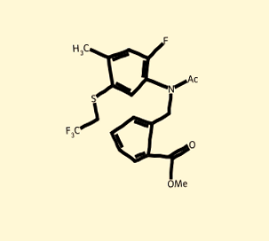 COC(=O)c1ccccc1CN(C(C)=O)c1cc(SCC(F)(F)F)c(C)cc1F